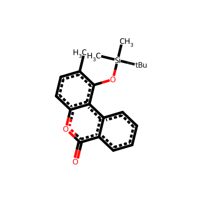 Cc1ccc2oc(=O)c3ccccc3c2c1O[Si](C)(C)C(C)(C)C